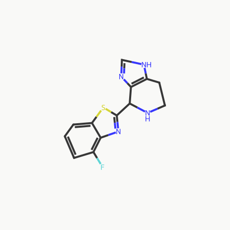 Fc1cccc2sc(C3NCCc4[nH]cnc43)nc12